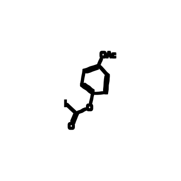 CC(=O)Oc1ccc(OC(=O)I)cc1